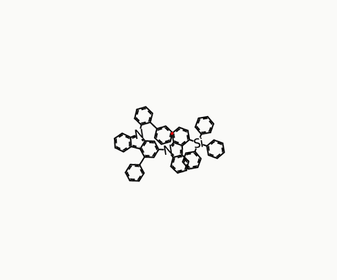 c1ccc(-c2ccccc2-n2c3ccccc3c3c(-c4ccccc4)cc(-n4c5ccccc5c5c([Si](c6ccccc6)(c6ccccc6)c6ccccc6)cccc54)cc32)cc1